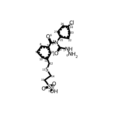 NNC(=O)N(C(=O)c1cccc(CSCCS(=O)(=O)O)c1)c1ccc(Cl)cc1